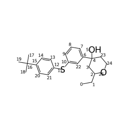 CCC1CC(O)(c2cccc(Sc3ccc(C(C)(C)C)cc3)c2)CCO1